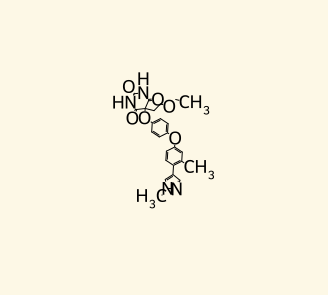 CCOCCC1(Oc2ccc(Oc3ccc(-c4cnn(C)c4)c(C)c3)cc2)C(=O)NC(=O)NC1=O